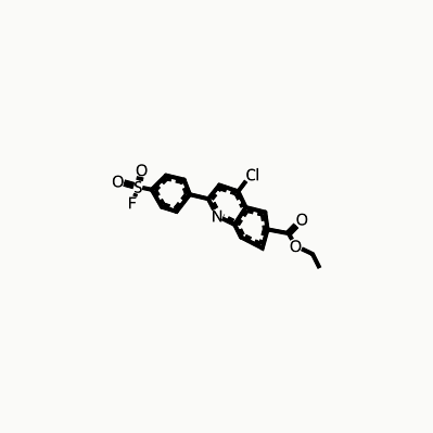 CCOC(=O)c1ccc2nc(-c3ccc(S(=O)(=O)F)cc3)cc(Cl)c2c1